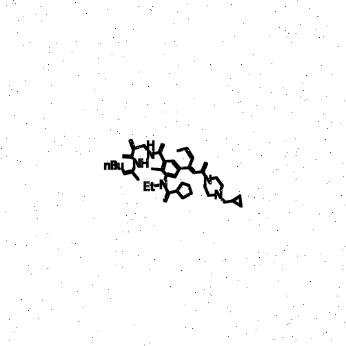 C=C(CNC(=C)c1cc(C(/C=C\C)=C/C(=C)N2CCN(CC3CC3)CC2)cc(N(CC)C(=C)C2CCCC2)c1C)C(=C)N/C(C)=C\CCCC